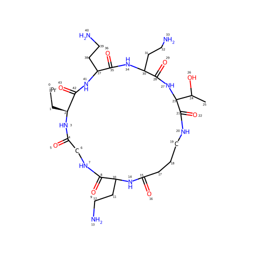 CC(C)C[C@@H]1NC(=O)CNC(=O)C(CCN)NC(=O)CCCNC(=O)C(C(C)O)NC(=O)C(CCN)NC(=O)C(CCN)NC1=O